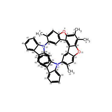 Cc1cc2oc3c(C)c(C)c4oc5cc(C)c(-n6c7ccccc7c7ccccc76)cc5c4c3c2cc1-n1c2ccccc2c2ccccc21